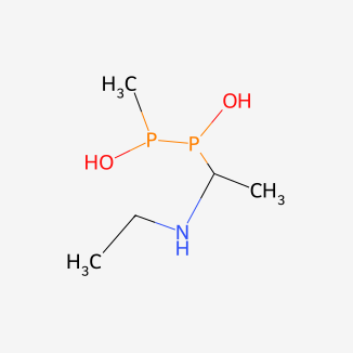 CCNC(C)P(O)P(C)O